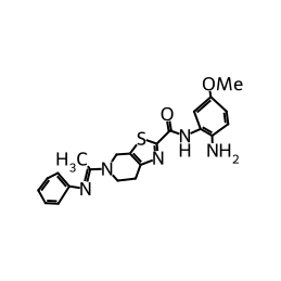 COc1ccc(N)c(NC(=O)c2nc3c(s2)CN(C(C)=Nc2ccccc2)CC3)c1